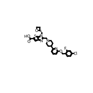 O=C(O)c1cc2nc(CN3CCC(c4cccc(OCc5ccc(Cl)cc5F)n4)CC3)n(C[C@@H]3CCO3)c2s1